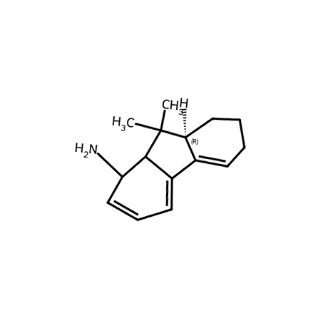 CC1(C)C2C(=CC=CC2N)C2=CCCC[C@@H]21